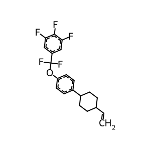 C=CC1CCC(c2ccc(OC(F)(F)c3cc(F)c(F)c(F)c3)cc2)CC1